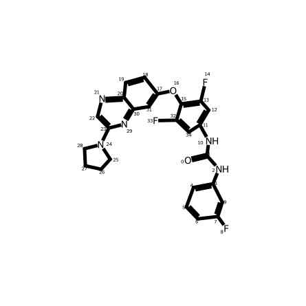 O=C(Nc1cccc(F)c1)Nc1cc(F)c(Oc2ccc3ncc(N4CCCC4)nc3c2)c(F)c1